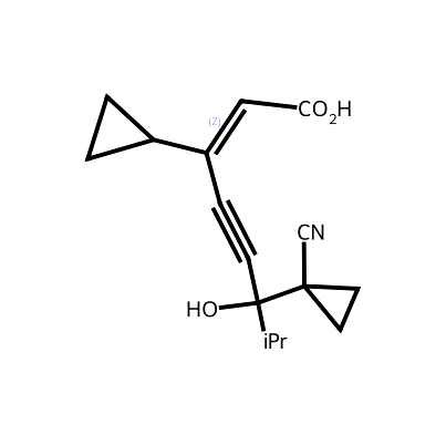 CC(C)C(O)(C#C/C(=C\C(=O)O)C1CC1)C1(C#N)CC1